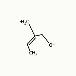 [CH2]C(=CC)CO